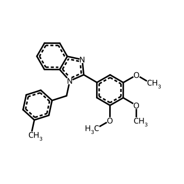 COc1cc(-c2nc3ccccc3n2Cc2cccc(C)c2)cc(OC)c1OC